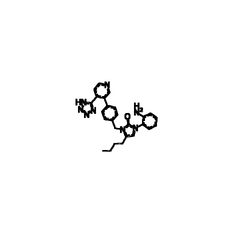 CCCCc1cn(-c2ccccc2N)c(=O)n1Cc1ccc(-c2cnccc2-c2nnn[nH]2)cc1